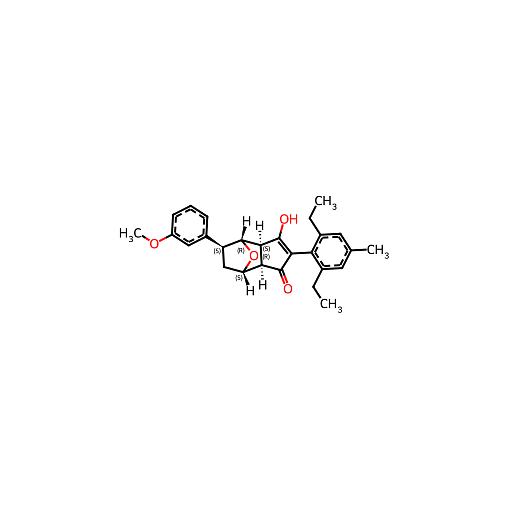 CCc1cc(C)cc(CC)c1C1=C(O)[C@@H]2[C@@H]3O[C@@H](C[C@H]3c3cccc(OC)c3)[C@@H]2C1=O